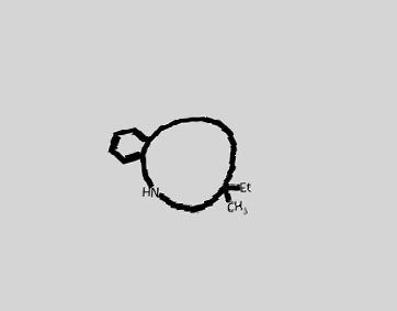 CCC1(C)CCCCCCCc2ccccc2CNCCC1